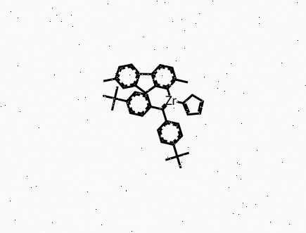 Cc1ccc2c(c1)Cc1c-2ccc(C)[c]1[Zr]([C]1=CC=CC1)=[C](c1ccc(C(C)(C)C)cc1)c1ccc(C(C)(C)C)cc1